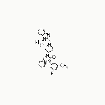 Cn1c(CN2CCC(N(Cc3ccccc3)C(=O)Nc3cc(F)cc(C(F)(F)F)c3)CC2)nc2ccccc21